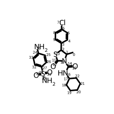 CC1C(c2ccc(Cl)cc2)SC(=O)N1C(=O)NC1CCCCC1.Nc1ccc(S(N)(=O)=O)cc1